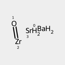 [BaH2].[O]=[Zr].[SrH2]